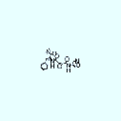 CN1CC(NC(=O)C2OC2C(=O)N[C@@H](Cc2ccccc2)C(=O)N(C)C)=CO1